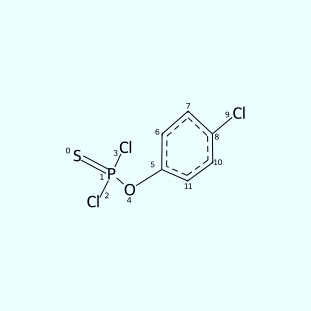 S=P(Cl)(Cl)Oc1ccc(Cl)cc1